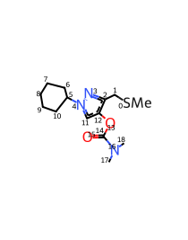 CSCc1nn(C2CCCCC2)cc1OC(=O)N(C)C